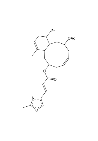 CC(=O)OC1C/C=C\CC(OC(=O)C=Cc2coc(C)n2)CC2C(C)=CCC(C(C)C)C2C1